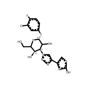 OCC1O[C@H](Sc2ccc(F)c(Cl)c2)C(O)[C@@H](n2cc(-c3csc(O)n3)nn2)[C@H]1O